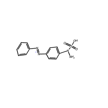 NN(c1ccc(/N=N/c2ccccc2)cc1)S(=O)(=O)O